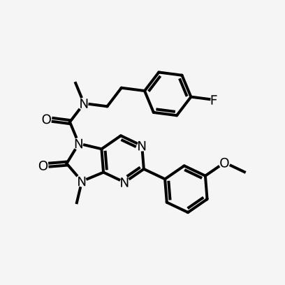 COc1cccc(-c2ncc3c(n2)n(C)c(=O)n3C(=O)N(C)CCc2ccc(F)cc2)c1